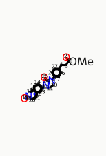 COC(=O)CCc1ccc(N2CCN(c3ccc4c[n+]([O-])ccc4c3)C2=O)cc1